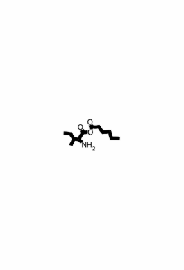 CCCCCC(=O)OC(=O)C(N)C(C)CC